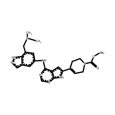 CN(C)Cc1cc(Nc2ncnc3[nH]c(C4=CCN(C(=O)OC(C)(C)C)CC4)cc23)cc2cn[nH]c12